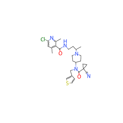 Cc1cc(Cl)nc(C)c1C(=O)NCCC(C)N1CCC(N(Cc2ccsc2)C(=O)C2(C#N)CC2)CC1